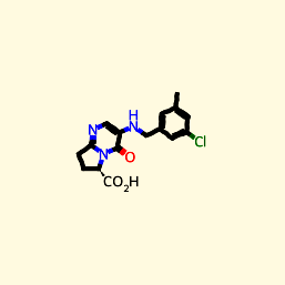 Cc1cc(Cl)cc(CNc2cnc3n(c2=O)[C@H](C(=O)O)CC3)c1